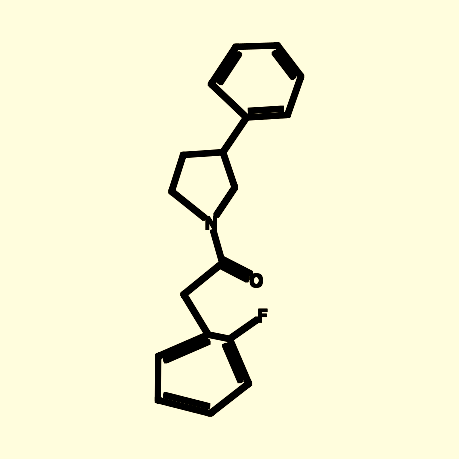 O=C(Cc1ccccc1F)N1CCC(c2ccccc2)C1